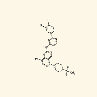 CC(C)c1ccc(N2CCC(S(C)(=O)=O)CC2)c2cnc(Nc3ccnc(N4CCC(I)[C@H](F)C4)n3)cc12